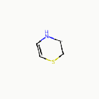 [C]1CSC=CN1